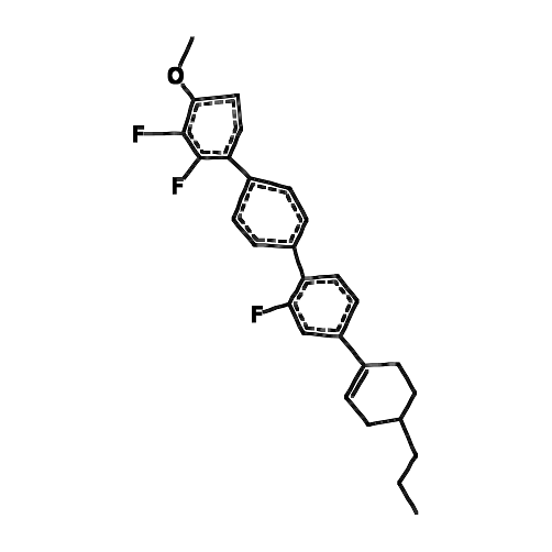 CCCC1CC=C(c2ccc(-c3ccc(-c4ccc(OC)c(F)c4F)cc3)c(F)c2)CC1